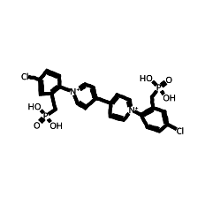 O=P(O)(O)Cc1cc(Cl)ccc1-[n+]1ccc(-c2cc[n+](-c3ccc(Cl)cc3CP(=O)(O)O)cc2)cc1